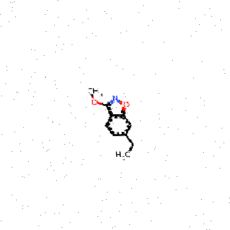 CCc1ccc2c(OC)noc2c1